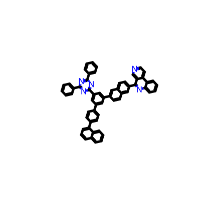 c1ccc(-c2nc(-c3ccccc3)nc(-c3cc(-c4ccc(-c5cccc6ccccc56)cc4)cc(-c4ccc5cc(-c6nc7ccccc7c7ccncc67)ccc5c4)c3)n2)cc1